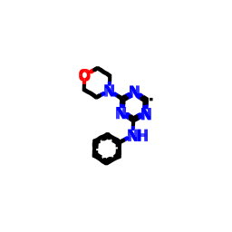 [c]1nc(Nc2ccccc2)nc(N2CCOCC2)n1